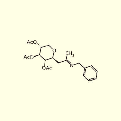 CC(=O)O[C@@H]1[C@@H](OC(C)=O)[C@H](OC(C)=O)CO[C@H]1C/C(C)=N/Cc1ccccc1